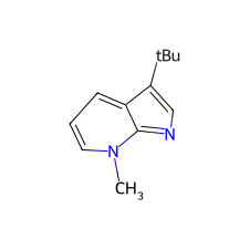 Cn1cccc2c(C(C)(C)C)cnc1-2